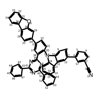 N#Cc1cccc(-c2ccc3c(c2)c2ccccc2n3-c2ccc(-c3ccc4c(c3)oc3ccccc34)cc2-c2nc(-c3ccccc3)nc(-c3ccccc3)n2)c1